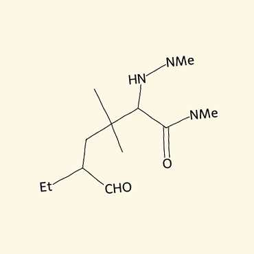 CCC(C=O)CC(C)(C)C(NNC)C(=O)NC